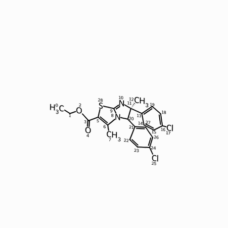 CCOC(=O)C1=C(C)N2C(=N[C@@](C)(c3ccc(Cl)cc3)C2c2ccc(Cl)cc2)S1